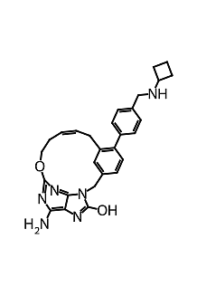 Nc1nc2nc3c1nc(O)n3Cc1ccc(-c3ccc(CNC4CCC4)cc3)c(c1)C/C=C\CCO2